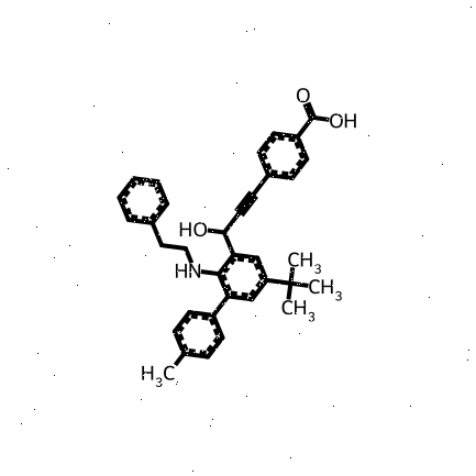 Cc1ccc(-c2cc(C(C)(C)C)cc(C(O)C#Cc3ccc(C(=O)O)cc3)c2NCCc2ccccc2)cc1